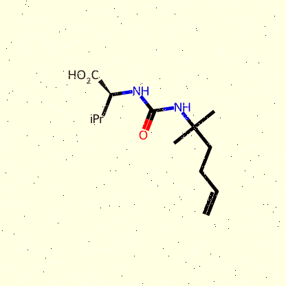 C=CCCC(C)(C)NC(=O)N[C@H](C(=O)O)C(C)C